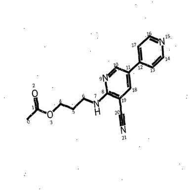 CC(=O)OCCCNc1ncc(-c2ccncc2)cc1C#N